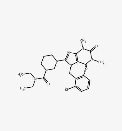 CCN(CC)C(=O)C1CCCN(c2nc3c(c(=O)n(C)c(=O)n3C)n2Cc2c(F)cccc2Cl)C1